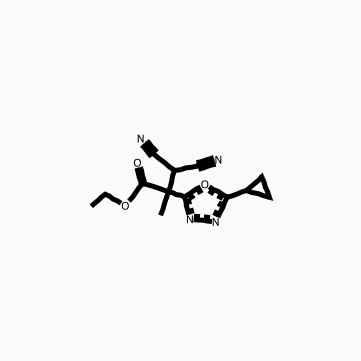 CCOC(=O)C(C)(c1nnc(C2CC2)o1)C(C#N)C#N